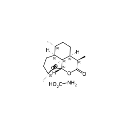 C[C@@H]1CC[C@H]2[C@@H](C)C(=O)O[C@@H]3O[C@]4(C)CC[C@@H]1[C@]32OO4.NC(=O)O